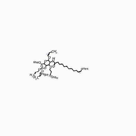 C=CCOP(=O)(OCC=C)OC1C(COC)OC(O/C=C\C)C(NC(=O)CCCCCCCCC/C=C\CCCCCC)C1OCC[C@@H](CCCCCCC)OC